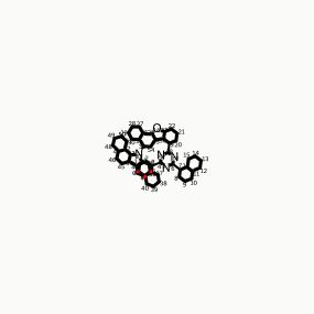 c1ccc(-c2nc(-c3cccc4ccccc34)nc(-c3cccc4oc5c6ccccc6c(-n6c7cc8ccccc8cc7c7ccc8ccccc8c76)cc5c34)n2)cc1